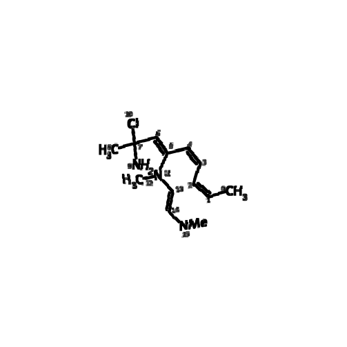 C\C=C/C=C\C(=C\C(C)(N)Cl)N(C)/C=C/NC